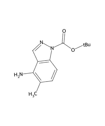 Cc1ccc2c(cnn2C(=O)OC(C)(C)C)c1N